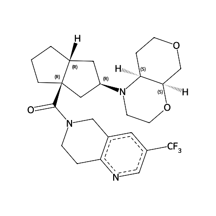 O=C(N1CCc2ncc(C(F)(F)F)cc2C1)[C@@]12CCC[C@@H]1C[C@@H](N1CCO[C@@H]3COCC[C@@H]31)C2